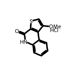 COc1csc2c(=O)[nH]c3ccccc3c12.Cl